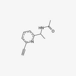 C#Cc1cccc(C(C)NC(C)=O)n1